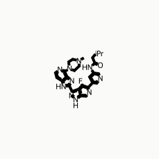 CC(C)CC(=O)Nc1cncc(-c2ncc3[nH]nc(-c4nc5c(N6CCN(C)CC6)nccc5[nH]4)c3c2F)c1